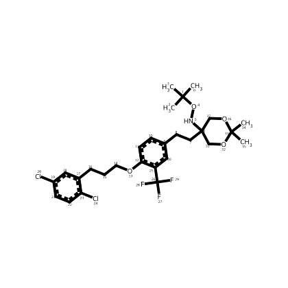 CC(C)(C)ONC1(CCc2ccc(OCCCc3cc(Cl)ccc3Cl)c(C(F)(F)F)c2)COC(C)(C)OC1